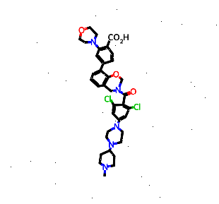 CN1CCC(N2CCN(c3cc(Cl)c(C(=O)N4COc5c(cccc5-c5ccc(C(=O)O)c(N6CCOCC6)c5)C4)c(Cl)c3)CC2)CC1